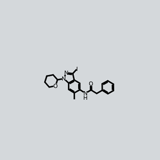 Cc1cc2c(cc1NC(=O)Cc1ccccc1)c(I)nn2C1CCCCO1